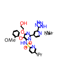 COc1ccccc1Oc1c(NS(=O)(=O)c2ccc(C(C)C)cn2)nc(-c2ccnc(-c3nnn[nH]3)c2)nc1OCCO.[Na].[Na]